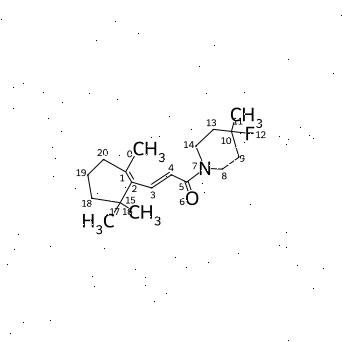 CC1=C(/C=C/C(=O)N2CCC(C)(F)CC2)C(C)(C)CCC1